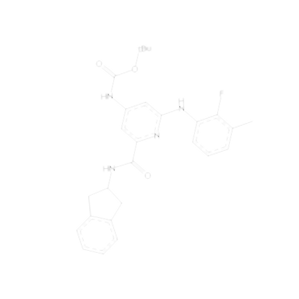 Cc1cccc(Nc2cc(NC(=O)OC(C)(C)C)cc(C(=O)NC3Cc4ccccc4C3)n2)c1F